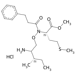 CC[C@H](C)C(N)CON(C(=O)CCc1ccccc1)[C@@H](CCSC)C(=O)OC.Cl